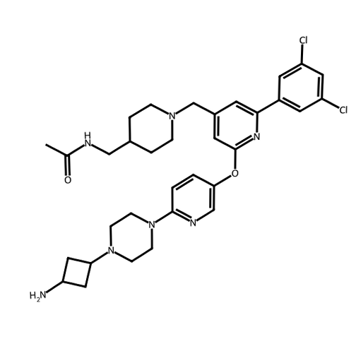 CC(=O)NCC1CCN(Cc2cc(Oc3ccc(N4CCN(C5CC(N)C5)CC4)nc3)nc(-c3cc(Cl)cc(Cl)c3)c2)CC1